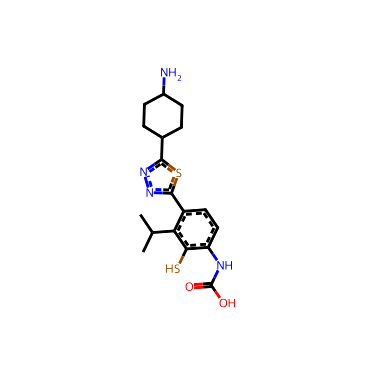 CC(C)c1c(-c2nnc(C3CCC(N)CC3)s2)ccc(NC(=O)O)c1S